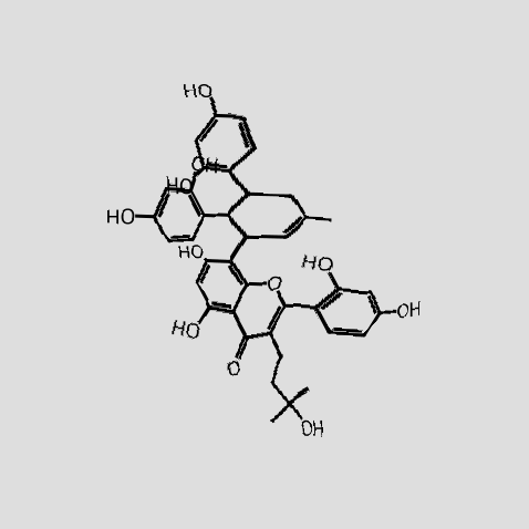 CC1=CC(c2c(O)cc(O)c3c(=O)c(CCC(C)(C)O)c(-c4ccc(O)cc4O)oc23)C(c2ccc(O)cc2O)C(c2ccc(O)cc2O)C1